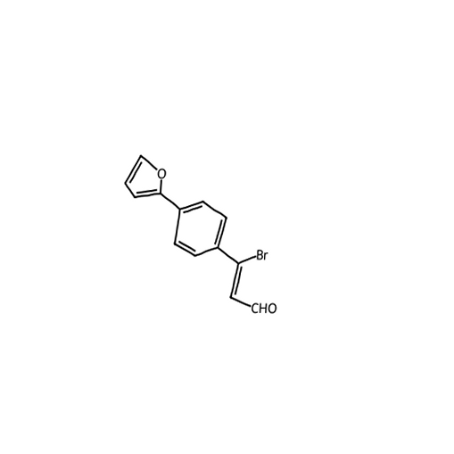 O=CC=C(Br)c1ccc(-c2ccco2)cc1